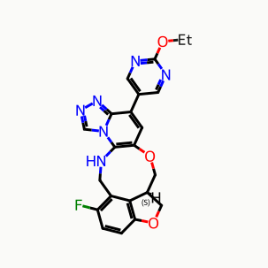 CCOc1ncc(-c2cc3c(n4cnnc24)NCc2c(F)ccc4c2[C@@H](CO4)CO3)cn1